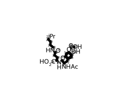 CC(=O)NC(Cc1ccc(OP(=O)(O)O)cc1)C(=O)NC(CCC(=O)NCCCCC(C)C)C(=O)O